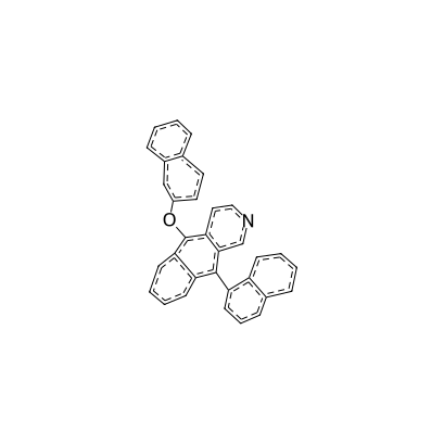 c1ccc2cc(Oc3c4ccccc4c(-c4cccc5ccccc45)c4cnccc34)ccc2c1